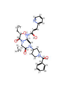 CC(C)C[C@H]1ON(C(=O)/C=C/c2ccccn2)C2=CN(C3CCN(C(=O)c4ccccc4)CC3)C(=O)[C@H](CC(C)C)N2C1=O